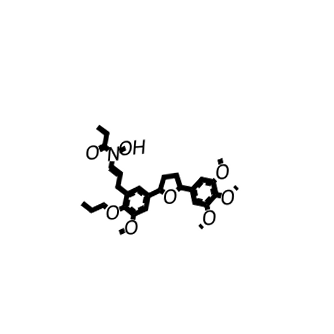 CCCOc1c(CC=CN(O)C(=O)CC)cc(C2CCC(c3cc(OC)c(OC)c(OC)c3)O2)cc1OC